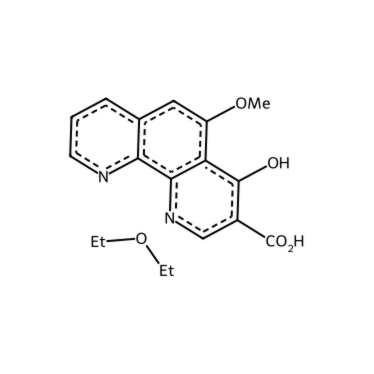 CCOCC.COc1cc2cccnc2c2ncc(C(=O)O)c(O)c12